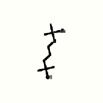 CC(C)(O)CCCO[Si](C)(C)C(C)(C)C